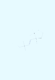 CC(C)(C=CC1(C)CCCC1(C)C)CO